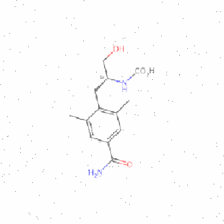 Cc1cc(C(N)=O)cc(C)c1C[C@@H](CO)NC(=O)O